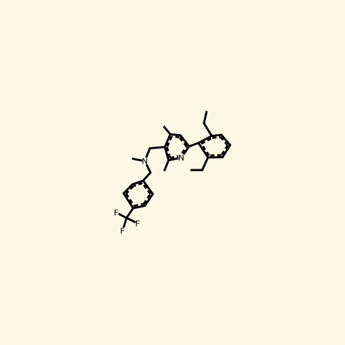 CCc1cccc(CC)c1-c1cc(C)c(CN(C)Cc2ccc(C(F)(F)F)cc2)c(C)n1